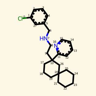 Clc1cccc(CNCCC2(c3ccccn3)CCCC3(CCCCC3)C2)c1